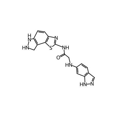 O=C(CNc1ccc2cn[nH]c2c1)Nc1nc2ccc3c(c2s1)CNN3